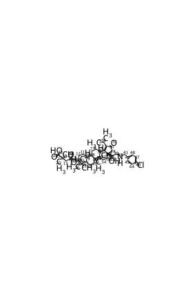 CC(C)C1=C2[C@H]3CC[C@@H]4[C@@]5(C)CC[C@H](OC(=O)CC(C)(C)C(=O)O)C(C)(C)C5CC[C@@]4(C)[C@]3(C)CC[C@@]2([C@H](O)CNCc2ccc(Cl)cc2)CC1=O